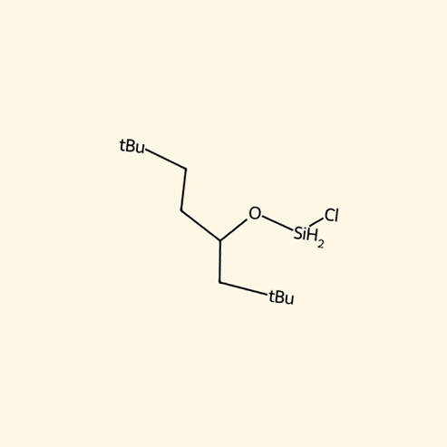 CC(C)(C)CCC(CC(C)(C)C)O[SiH2]Cl